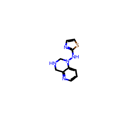 c1cnc2c(c1)N(Nc1nccs1)CNC2